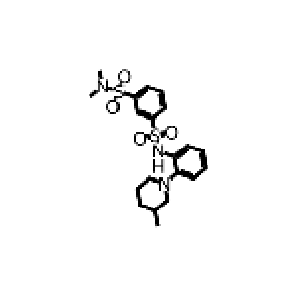 CC1CCCN(c2ccccc2NS(=O)(=O)c2cccc(S(=O)(=O)N(C)C)c2)C1